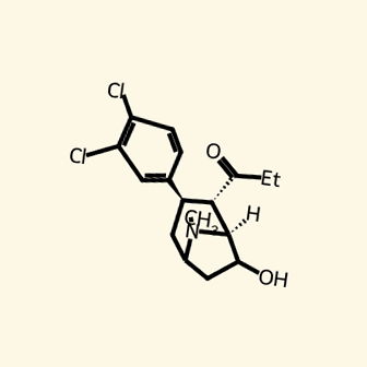 CCC(=O)[C@@H]1[C@H]2C(O)CC(C[C@H]1c1ccc(Cl)c(Cl)c1)N2C